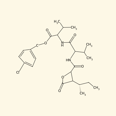 CC[C@H](C)C1C(=O)OC1C(=O)NC(C(=O)NC(C(=O)OCc1ccc(Cl)cc1)C(C)C)C(C)C